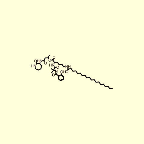 CCCCCCCCCCCCCCCCCCCC(=O)NCCCCC(NC(=O)C1(C)COC(c2ccccc2O)=N1)C(=O)OC(C)CC(=O)NC1CCCCNC1=O